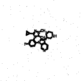 CC1N(C)N=C(C2CC2)N1c1cc(F)ccc1-n1cc(C2CCCNC2)c2ccncc21